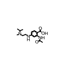 CC(=O)Nc1cc(NCCN(C)C(C)C)ccc1C(=O)O